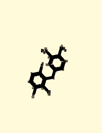 Nc1ncc(Cc2c(F)ccc(F)c2Cl)nc1N